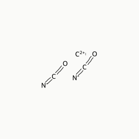 [C+2].[N-]=C=O.[N-]=C=O